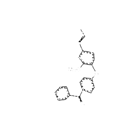 CC=Cc1ccc(Oc2ccc(C(=O)c3ccccc3)cc2)c(OC)c1